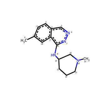 Cc1ccc2cnnc(NC3CCCN(C)C3)c2c1